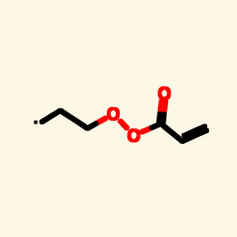 [CH2]CCOOC(=O)C=C